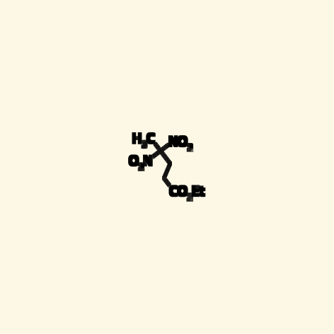 CCOC(=O)CCC(C)([N+](=O)[O-])[N+](=O)[O-]